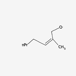 CCCCC=C(C)C[O]